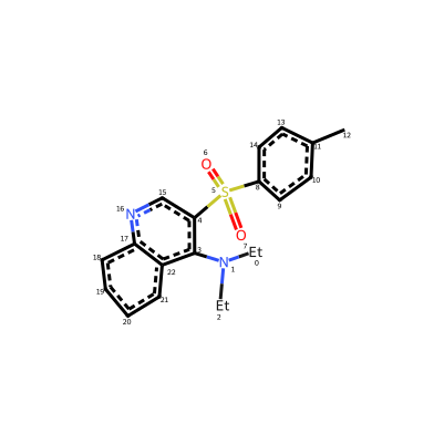 CCN(CC)c1c(S(=O)(=O)c2ccc(C)cc2)cnc2ccccc12